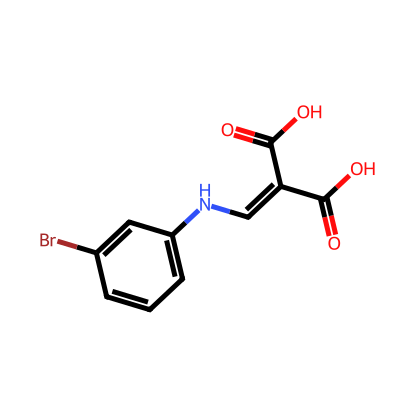 O=C(O)C(=CNc1cccc(Br)c1)C(=O)O